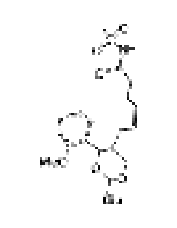 COc1ccccc1C1OC(C(C)(C)C)OCC1C/C=C\CCC(=O)NS(C)(=O)=O